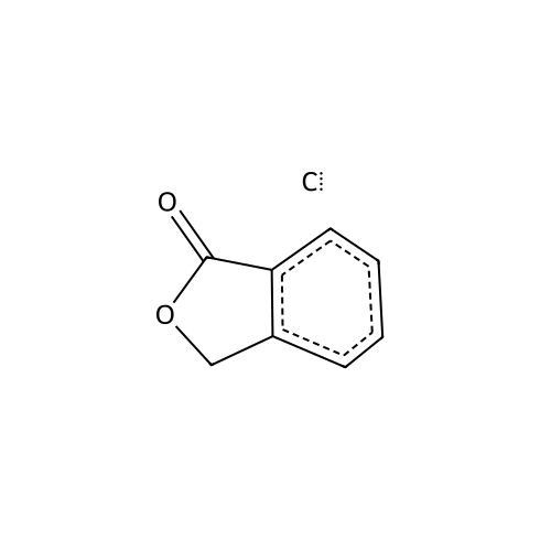 O=C1OCc2ccccc21.[C]